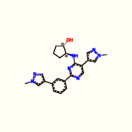 Cn1cc(-c2cccc(-c3ncc(-c4cnn(C)c4)c(N[C@H]4CCC[C@@H]4O)n3)c2)cn1